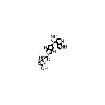 CN(c1c(C#N)cnc2[nH]ccc12)C1C[C@@H]2CN(C(=O)Nc3nc(O)ns3)C[C@@H]2C1